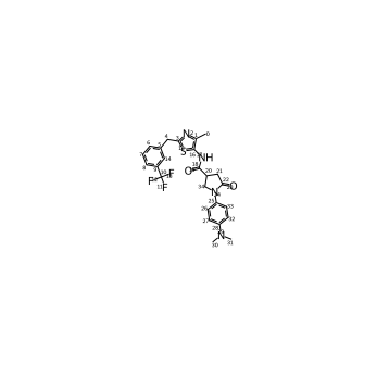 Cc1nc(Cc2cccc(C(F)(F)F)c2)sc1NC(=O)C1CC(=O)N(c2ccc(N(C)C)cc2)C1